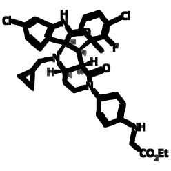 CCOC(=O)CNc1ccc(N2CC[C@H]3[C@@H](C2=O)[C@H](C2(C)CC=CC(Cl)=C2F)[C@]2(C(=O)Nc4cc(Cl)ccc42)N3CC2CC2)cc1